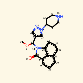 COC(c1cnn(C2CCNCC2)c1)N1C(=O)c2cccc3cccc1c23